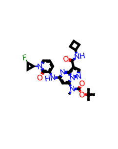 CN(C(=O)OC(C)(C)C)c1cc(Nc2cccn([C@H]3C[C@@H]3F)c2=O)nc2c(C(=O)NC3CCC3)cnn12